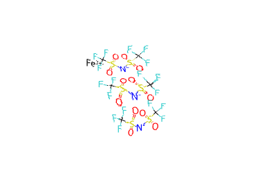 O=S(=O)([N-]S(=O)(=O)C(F)(F)F)C(F)(F)F.O=S(=O)([N-]S(=O)(=O)C(F)(F)F)C(F)(F)F.O=S(=O)([N-]S(=O)(=O)C(F)(F)F)C(F)(F)F.[Fe+3]